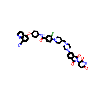 N#Cc1ccc(O[C@H]2CC[C@H](NC(=O)c3ccc(N4CCC(CN5CCN(c6ccc7c(c6)C(=O)N(C6CCC(=O)NC6=O)C7=O)CC5)CC4)c(F)c3)CC2)c2cccnc12